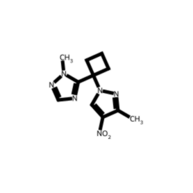 Cc1nn(C2(c3ncnn3C)CCC2)cc1[N+](=O)[O-]